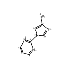 CCCc1cn(-c2ncccn2)cn1